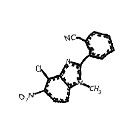 Cn1c(-c2ccccc2C#N)nc2c(Cl)c([N+](=O)[O-])ccc21